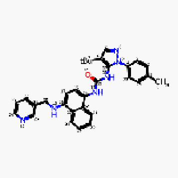 Cc1ccc(-n2ncc(C(C)(C)C)c2NC(=O)Nc2ccc(NCc3cccnc3)c3ccccc23)cc1